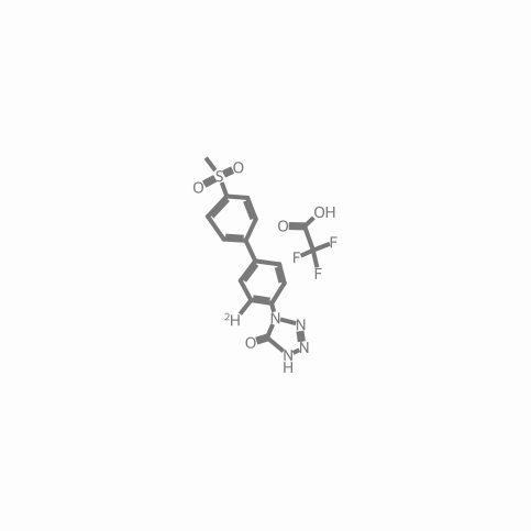 O=C(O)C(F)(F)F.[2H]c1cc(-c2ccc(S(C)(=O)=O)cc2)ccc1-n1nn[nH]c1=O